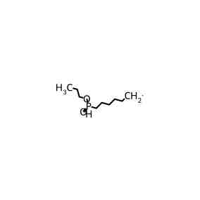 [CH2]CCCCC[PH](=O)OCCC